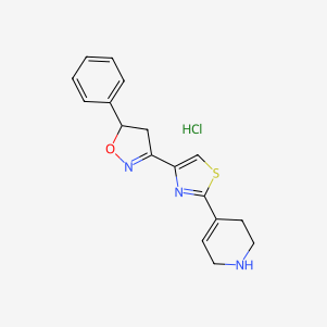 C1=C(c2nc(C3=NOC(c4ccccc4)C3)cs2)CCNC1.Cl